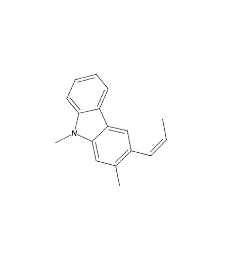 C/C=C\c1cc2c3ccccc3n(C)c2cc1C